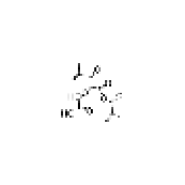 C=C(C)C(=O)OC(=O)C(=O)C(=O)C(=C)C.[O]=[Ti]([OH])[OH]